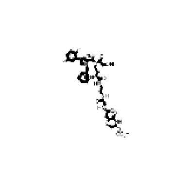 CC(C)(C)[C@H](c1cc(-c2cc(F)ccc2F)cn1Cc1ccccc1)N(CC[C@H](N)C(=O)NCCNC(=O)CNC(=O)CC1SC[C@@H](OC(=O)O)NC1=O)C(=O)CO